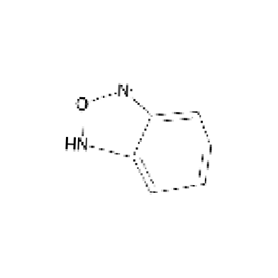 c1ccc2c(c1)[N]ON2